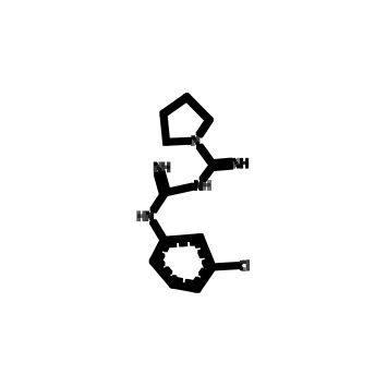 N=C(NC(=N)N1CCCC1)Nc1cccc(Cl)c1